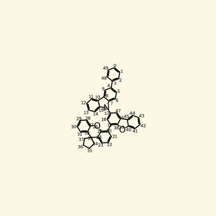 c1ccc(-c2ccc3c(c2)c2ccccc2n3-c2cc(-c3cccc4c3Oc3ccccc3C43CCCC3)c3oc4ccccc4c3c2)cc1